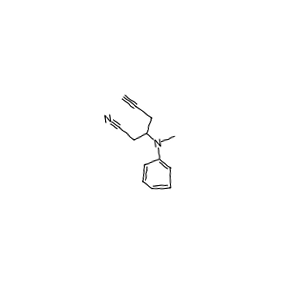 C#CCC(CC#N)N(C)c1ccccc1